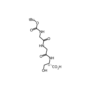 CC(C)(C)OC(=O)NCC(=O)NCC(=O)N[C@@H](CO)C(=O)O